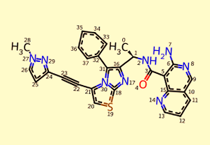 C[C@@H](NC(=O)c1c(N)ncc2cccnc12)c1nc2scc(C#Cc3ccn(C)n3)n2c1-c1ccccc1